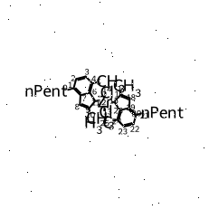 CCCCCc1ccc(C)c2c1C=C(C)[CH]2[Zr]([Cl])([Cl])[CH]1C(C)=Cc2c(CCCCC)ccc(C)c21